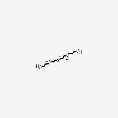 CNCCCNCCSSCCNCCCNC